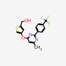 Cc1cc(Oc2csc(CO)c2)nc(-c2ccc(C(F)(F)F)cc2)n1